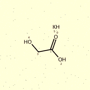 O=C(O)CO.[KH]